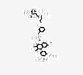 COc1cc([C@@H]2c3cc4c(cc3[C@H](OC(=O)N/N=C/c3cccc(OCCCN(C)CCC(O)([PH](=O)O)P(=O)(O)O)c3)[C@H]3COC(=O)[C@H]23)OCO4)cc(OC)c1OC